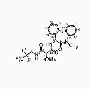 COC(C(=O)NCC(F)(F)C(F)(F)F)C(=O)N[C@@H]1C(=O)N(C)c2ccccc2-c2ccccc21